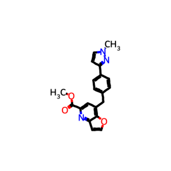 COC(=O)c1cc(Cc2ccc(-c3ccn(C)n3)cc2)c2occc2n1